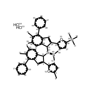 Cc1ccc(C2=Cc3c(cc(C)c(C)c3-c3ccccc3)[CH]2[Zr]([CH]2C(c3ccc([Si](C)(C)C)o3)=Cc3c2cc(C)c(C)c3-c2ccccc2)=[Si](C)C)o1.Cl.Cl